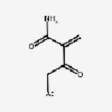 C=C(C(N)=O)C(=O)CC(C)=O